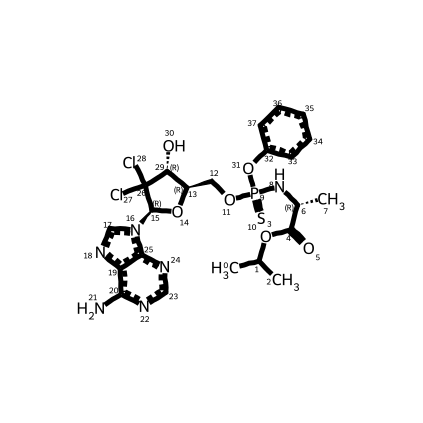 CC(C)OC(=O)[C@@H](C)NP(=S)(OC[C@H]1O[C@@H](n2cnc3c(N)ncnc32)C(Cl)(Cl)[C@@H]1O)Oc1ccccc1